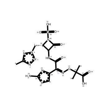 Cc1nnn(C[C@H]2C(NC(=O)/C(=N\OC(C)(C)C(=O)O)c3csc(N)n3)C(=O)N2S(=O)(=O)O)n1